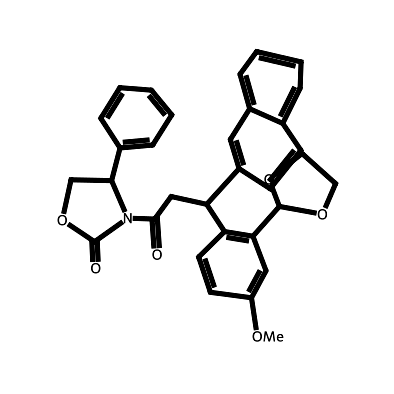 COc1ccc(C(CC(=O)N2C(=O)OCC2c2ccccc2)c2ccc3ccccc3c2)c(C2OCCO2)c1